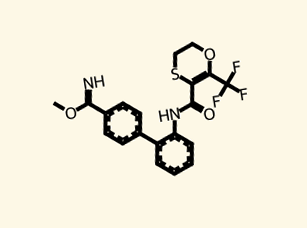 COC(=N)c1ccc(-c2ccccc2NC(=O)C2=C(C(F)(F)F)OCCS2)cc1